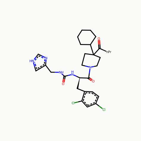 CCCC(=O)C1(C2CCCCC2)CCN(C(=O)[C@@H](Cc2ccc(Cl)cc2Cl)NC(=O)NCc2c[nH]cn2)CC1